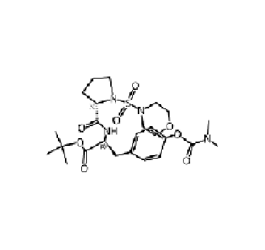 CN(C)C(=O)Oc1ccc(C[C@H](NC(=O)[C@@H]2CCCN2S(=O)(=O)N2CCOCC2)C(=O)OC(C)(C)C)cc1